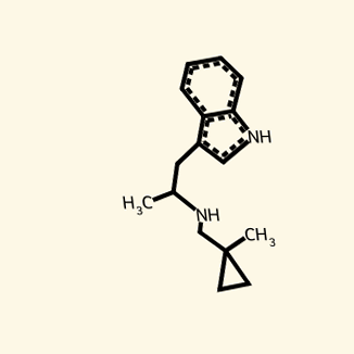 CC(Cc1c[nH]c2ccccc12)NCC1(C)CC1